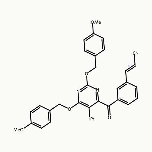 COc1ccc(COc2nc(OCc3ccc(OC)cc3)c(C(C)C)c(C(=O)c3cccc(/C=C/C#N)c3)n2)cc1